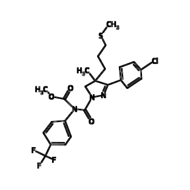 COC(=O)N(C(=O)N1CC(C)(CCCSC)C(c2ccc(Cl)cc2)=N1)c1ccc(C(F)(F)F)cc1